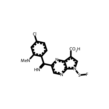 CNc1cc(Cl)ccc1C(=N)c1cnc2c(n1)c(C(=O)O)cn2SF